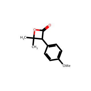 COc1ccc(C2C(=O)OC2(C)C)cc1